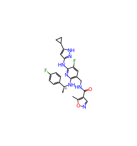 Cc1oncc1C(=O)NCc1cc(F)c(Nc2cc(C3CC3)[nH]n2)nc1N[C@@H](C)c1ccc(F)cc1